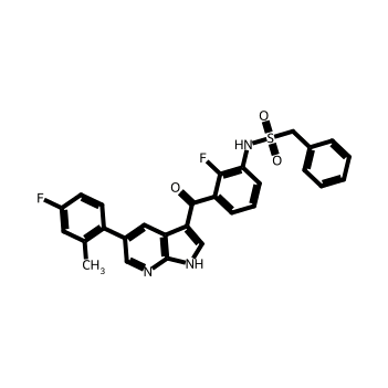 Cc1cc(F)ccc1-c1cnc2[nH]cc(C(=O)c3cccc(NS(=O)(=O)Cc4ccccc4)c3F)c2c1